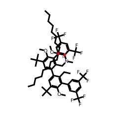 CCCCCCCCC(CCCCCCCC)(OC)[C@H](C)N(C)Cc1c(-c2cc(C(C)(C)C)c(OC)c(-c3cc(C(F)(F)F)cc(C(F)(F)F)c3)c2CC)cc(C(C)(C)C)c(OC)c1-c1cc(C(F)(F)F)cc(C(F)(F)F)c1